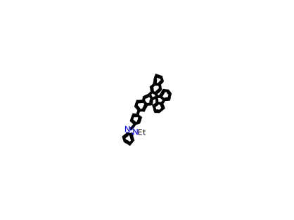 CCn1c(-c2ccc(-c3ccc4cc5c(cc4c3)C3(c4ccccc4-c4ccccc43)c3cc4ccccc4cc3-5)cc2)nc2ccccc21